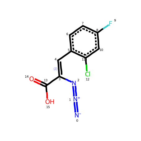 [N-]=[N+]=N/C(=C\c1ccc(F)cc1Cl)C(=O)O